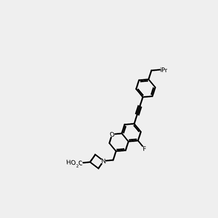 CC(C)Cc1ccc(C#Cc2cc(F)c3c(c2)OCC(CN2CC(C(=O)O)C2)=C3)cc1